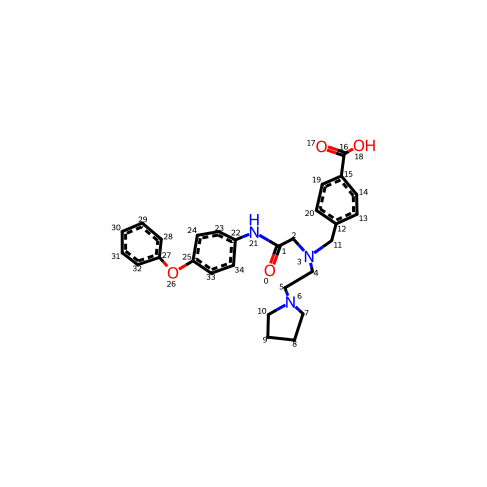 O=C(CN(CCN1CCCC1)Cc1ccc(C(=O)O)cc1)Nc1ccc(Oc2ccccc2)cc1